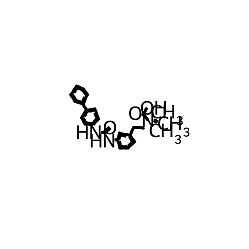 CC(C)(C)N(CCc1cccc(NC(=O)Nc2ccc(-c3ccccc3)cc2)c1)C(=O)O